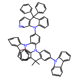 CC1(C)c2ccccc2N(c2ccc(N3c4ccccc4C(c4ccccc4)(c4ccccc4)c4ccncc43)cc2-n2c3ccccc3c3ccccc32)c2ccc(-n3c4ccccc4c4ccccc43)cc21